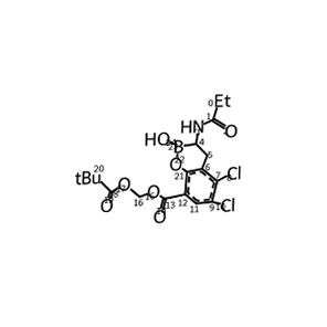 CCC(=O)NC1Cc2c(Cl)c(Cl)cc(C(=O)OCOC(=O)C(C)(C)C)c2OB1O